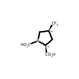 O=C(O)[C@@H]1C[C@H](C(F)(F)F)CN1C(=O)O